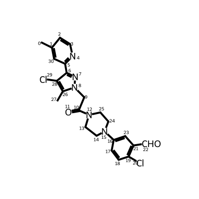 Cc1ccnc(-c2nn(CC(=O)N3CCN(c4ccc(Cl)c(C=O)c4)CC3)c(C)c2Cl)c1